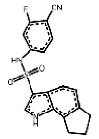 N#Cc1ccc(NS(=O)(=O)c2c[nH]c3c4c(ccc23)CCC4)cc1F